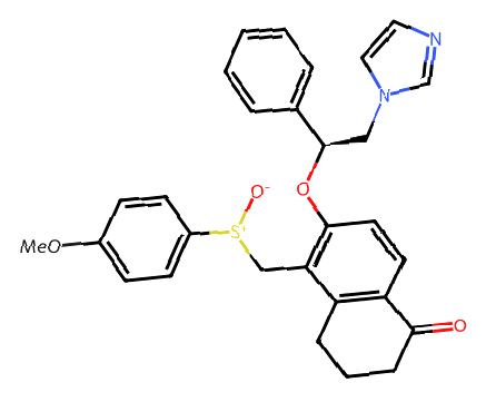 COc1ccc([S+]([O-])Cc2c(O[C@H](Cn3ccnc3)c3ccccc3)ccc3c2CCCC3=O)cc1